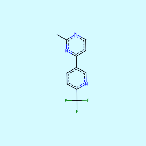 Cc1n[c]cc(-c2ccc(C(F)(F)F)nc2)n1